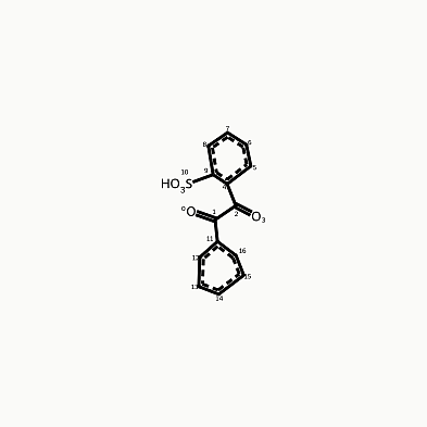 O=C(C(=O)c1ccccc1S(=O)(=O)O)c1ccccc1